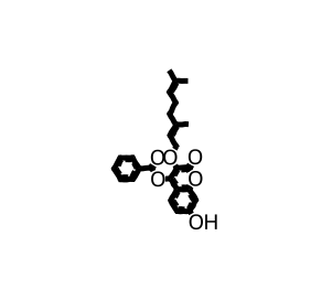 CC(C)=CCC/C(C)=C/COc1c(OC(=O)c2ccccc2)c2ccc(O)cc2oc1=O